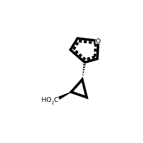 O=C(O)[C@@H]1C[C@H]1c1ccoc1